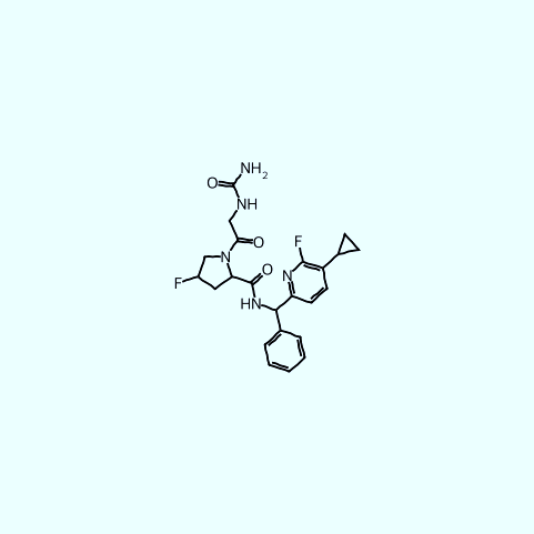 NC(=O)NCC(=O)N1CC(F)CC1C(=O)NC(c1ccccc1)c1ccc(C2CC2)c(F)n1